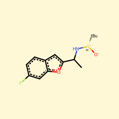 CC(N[S@@+]([O-])C(C)(C)C)c1cc2ccc(F)cc2o1